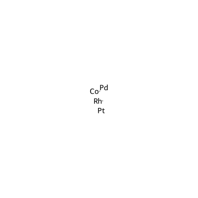 [Co].[Pd].[Pt].[Rh]